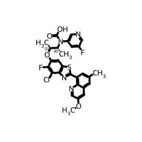 COc1cnc2c(-c3nc4c(Cl)c(F)c(O[C@@H](C)[C@@H](C)N(C(=O)O)c5cncc(F)c5)cc4s3)cc(C)cc2c1